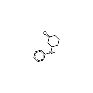 O=C1CCCC(Nc2ccccc2)C1